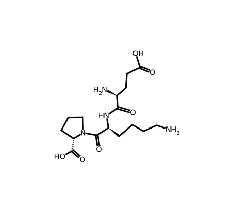 NCCCC[C@H](NC(=O)[C@@H](N)CCC(=O)O)C(=O)N1CCC[C@H]1C(=O)O